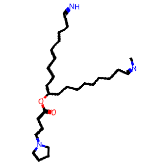 C/N=C\CCCCCCCCC(CCCCCCCCC=N)OC(=O)CCCN1CCCC1